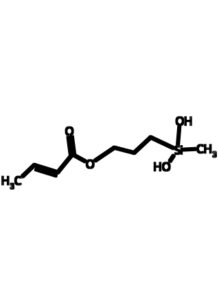 CC=CC(=O)OCCC[Si](C)(O)O